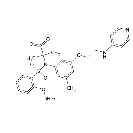 CCCCCCOc1ccccc1S(=O)(=O)N(c1cc(C)cc(OCCNc2ccncc2)c1)C(C)(C)P(=O)=O